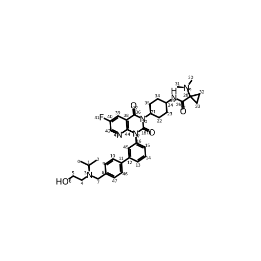 CC(C)N(CCO)Cc1ccc(-c2cccc(-n3c(=O)n(C4CCC(NC(=O)C5(N(C)C)CC5)CC4)c(=O)c4cc(F)cnc43)c2)cc1